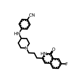 N#Cc1ccc(NC2CCN(CCCc3cc4ccc(F)cc4c(=O)[nH]3)CC2)cc1